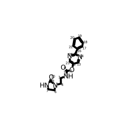 O=C(NCCN1CCNC1=O)Oc1cnc(-c2ccccc2)nc1